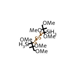 COCC(C)(OC)C([SiH3])(OC)SSSSC([SiH3])(OC)C(C)(COC)OC